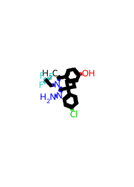 C=C(c1ccc(O)cc1)N(CC(F)(F)F)/C(=N\N)C1(c2ccc(Cl)cc2)CCC1